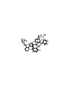 COCCCO[C@H]1CCCC[C@@H]1n1cnc(C(=O)N2CCN(C(=O)O)C[C@H]2Cc2ccccc2)c1-c1ccccc1